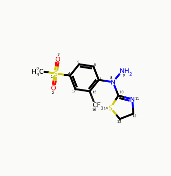 CS(=O)(=O)c1ccc(N(N)C2=NCCS2)c(C(F)(F)F)c1